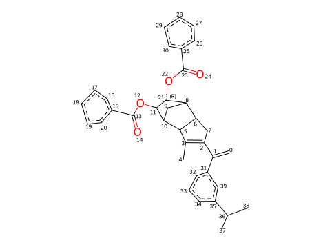 C=C(C1=C(C)C2C(C1)C1CC2C(OC(=O)c2ccccc2)[C@@H]1OC(=O)c1ccccc1)c1cccc(C(C)C)c1